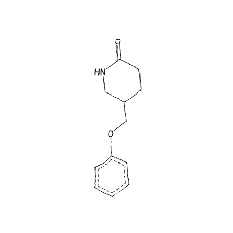 O=C1CCC(COc2ccccc2)CN1